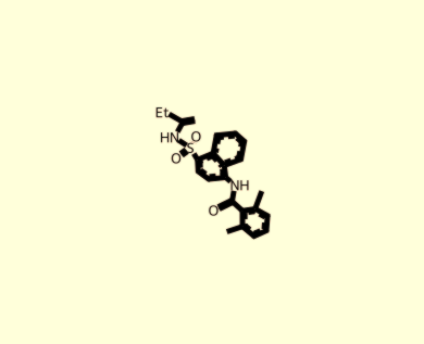 C=C(CC)NS(=O)(=O)c1ccc(NC(=O)c2c(C)cccc2C)c2ccccc12